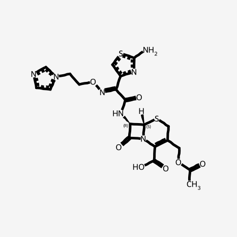 CC(=O)OCC1=C(C(=O)O)N2C(=O)[C@@H](NC(=O)C(=NOCCn3ccnc3)c3csc(N)n3)[C@@H]2SC1